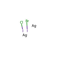 BrI.ClI.[Ag].[Ag]